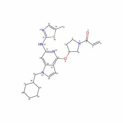 C=CC(=O)N1CCC(Oc2nc(Nc3ncc(C)s3)cc3c2ccn3CC2CCCCC2)C1